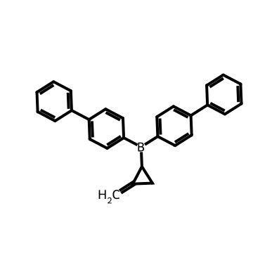 C=C1CC1B(c1ccc(-c2ccccc2)cc1)c1ccc(-c2ccccc2)cc1